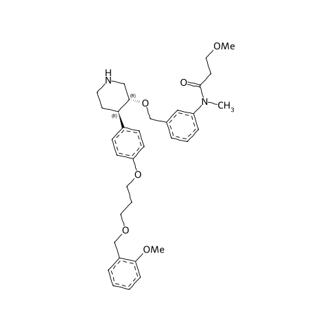 COCCC(=O)N(C)c1cccc(CO[C@H]2CNCC[C@@H]2c2ccc(OCCCOCc3ccccc3OC)cc2)c1